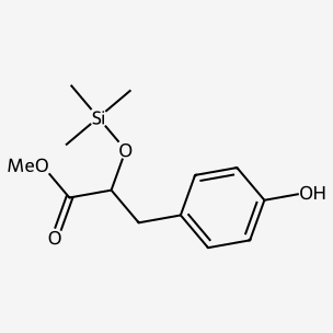 COC(=O)C(Cc1ccc(O)cc1)O[Si](C)(C)C